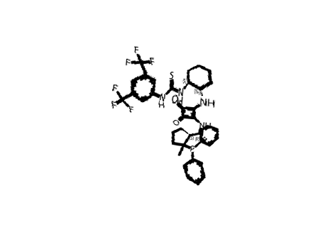 C[C@@H](Nc1c(N[C@H]2CCCC[C@@H]2NC(=S)Nc2cc(C(F)(F)F)cc(C(F)(F)F)c2)c(=O)c1=O)[C@@H]1CCCC1(C)P(c1ccccc1)c1ccccc1